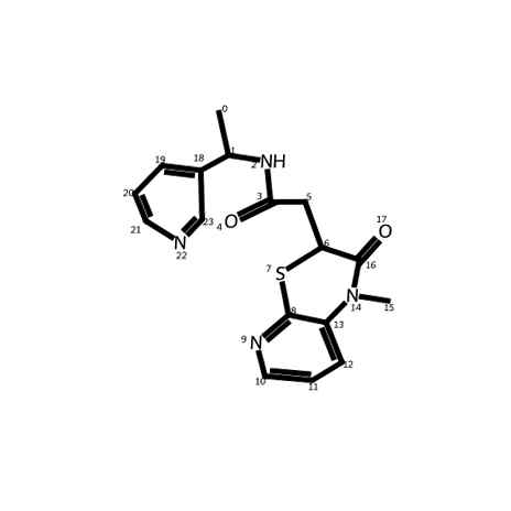 CC(NC(=O)CC1Sc2ncccc2N(C)C1=O)c1cccnc1